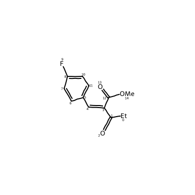 CCC(=O)/C(=C/c1ccc(F)cc1)C(=O)OC